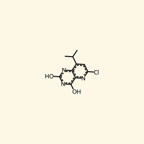 CC(C)c1cc(Cl)nc2c(O)nc(O)nc12